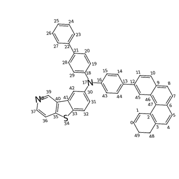 C1=Cc2c(ccc3ccc4ccc(-c5ccc(N(c6ccc(-c7ccccc7)cc6)c6ccc7sc8ccncc8c7c6)cc5)cc4c23)CC1